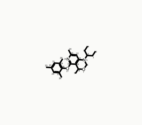 CCC(CC)N1COC(C)c2c1cc(C)nc2Oc1c(C)cc(C)cc1C